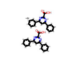 O=C(O)c1nc(-c2ccccc2)cc(-c2ccccc2)n1.O=C(O)c1nc(-c2ccccc2)cc(-c2ccccc2)n1.[Ir]